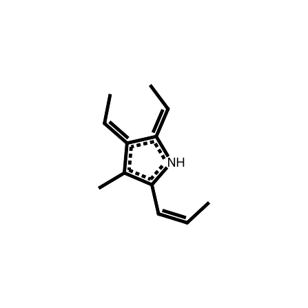 C/C=C\c1[nH]c(=C/C)/c(=C\C)c1C